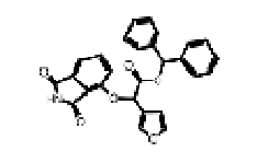 O=C1NC(=O)c2c(OC(C(=O)OC(c3ccccc3)c3ccccc3)c3ccoc3)cccc21